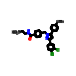 COc1ccc(-c2cc(-c3ccc(Cl)c(Cl)c3)nn2Cc2ccc(C(=O)NCCC(=O)O)cc2)cc1